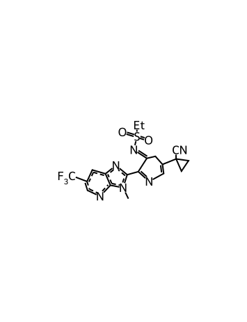 CCS(=O)(=O)N=C1CC(C2(C#N)CC2)=CN=C1c1nc2cc(C(F)(F)F)cnc2n1C